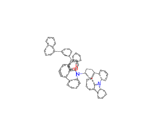 c1cc2c(oc3ccccc32)c(-c2ccccc2N(C2=CC=C(c3ccccc3-n3c4ccccc4c4ccccc43)CC2)c2ccc(-c3cccc(-c4cccc5ccccc45)c3)cc2)c#1